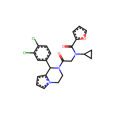 O=C(c1ccco1)N(CC(=O)N1CCn2cccc2C1c1ccc(Cl)c(Cl)c1)C1CC1